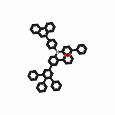 c1ccc(-c2ccc(N(c3ccc(-c4cc5ccccc5c5ccccc45)cc3)c3ccc(-c4cc(-c5ccccc5)c(-c5ccccc5)c(-c5ccccc5)c4)cc3-c3ccccc3)cc2)cc1